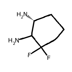 NC1[C@H](N)CCCC1(F)F